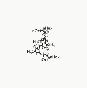 CCCCCCCCC(CCCCCC)C(=O)OCCCCC(C)C(=O)OCC(CN(C)C)OC(=O)C(C)CCCCOC(=O)C(CCCCCC)CCCCCCCC